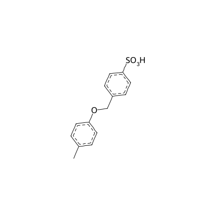 Cc1ccc(OCc2ccc(S(=O)(=O)O)cc2)cc1